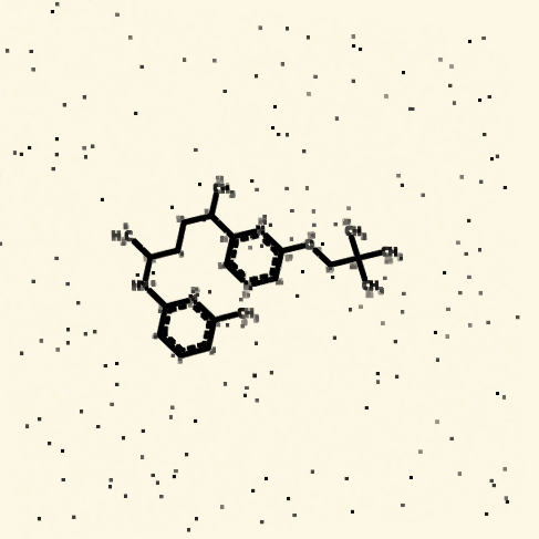 Cc1cccc(NC(C)CCC(C)c2cncc(OCC(C)(C)C)n2)n1